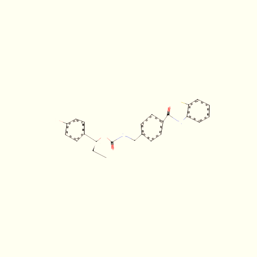 Bc1ccc([C@H](CC)OC(=O)NCc2ccc(C(=O)Nc3ccccc3S)cc2)cc1